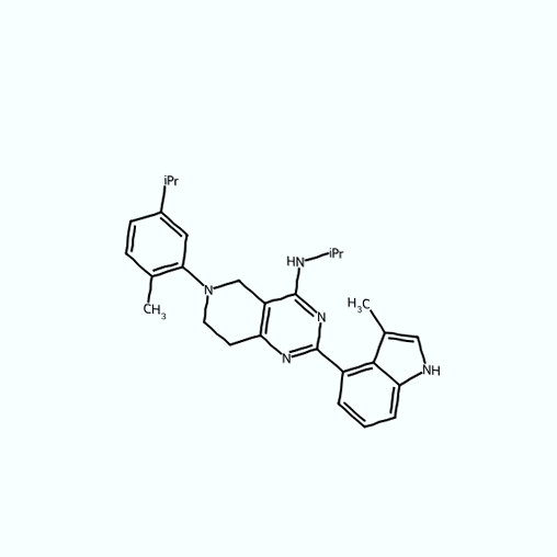 Cc1ccc(C(C)C)cc1N1CCc2nc(-c3cccc4[nH]cc(C)c34)nc(NC(C)C)c2C1